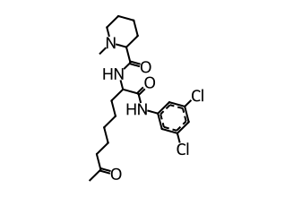 CC(=O)CCCCCC(NC(=O)C1CCCCN1C)C(=O)Nc1cc(Cl)cc(Cl)c1